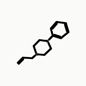 C=CCN1CCN(c2cc[c]cc2)CC1